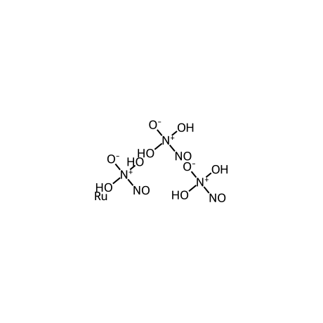 O=N[N+]([O-])(O)O.O=N[N+]([O-])(O)O.O=N[N+]([O-])(O)O.[Ru]